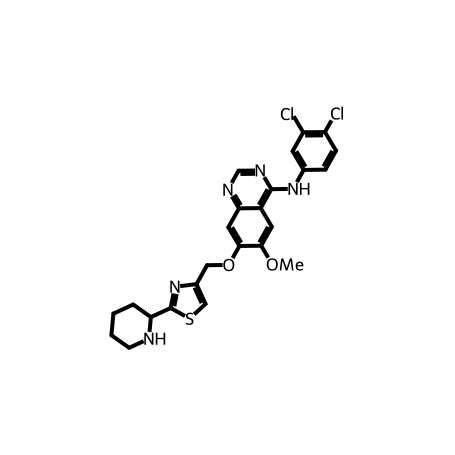 COc1cc2c(Nc3ccc(Cl)c(Cl)c3)ncnc2cc1OCc1csc(C2CCCCN2)n1